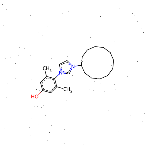 Cc1cc(O)cc(C)c1-[n+]1ccn(C2CCCCCCCCCCC2)c1